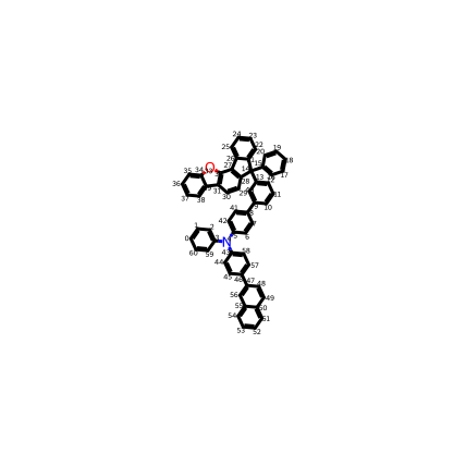 c1ccc(N(c2ccc(-c3cccc(C4(c5ccccc5)c5ccccc5-c5c4ccc4c5oc5ccccc54)c3)cc2)c2ccc(-c3ccc4ccccc4c3)cc2)cc1